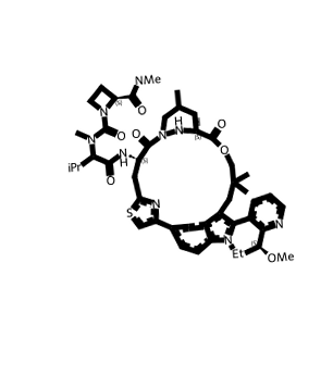 CCn1c(-c2cccnc2[C@H](C)OC)c2c3cc(ccc31)-c1csc(n1)C[C@H](NC(=O)C(C(C)C)N(C)C(=O)N1CC[C@H]1C(=O)NC)C(=O)N1CC(C)C[C@H](N1)C(=O)OCC(C)(C)C2